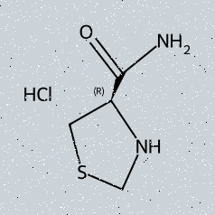 Cl.NC(=O)[C@@H]1CSCN1